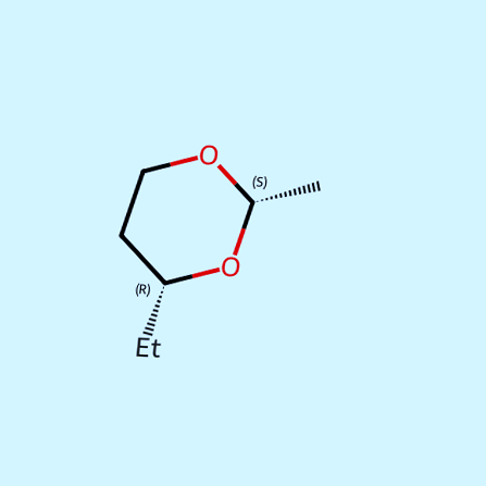 CC[C@@H]1CCO[C@H](C)O1